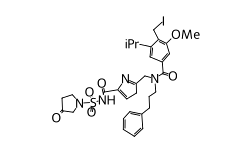 COc1cc(C(=O)N(CCCc2ccccc2)CC2=NC(C(=O)NS(=O)(=O)N3CCC(=O)C3)=CC2)cc(C(C)C)c1CI